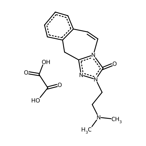 CN(C)CCn1nc2n(c1=O)C=Cc1ccccc1C2.O=C(O)C(=O)O